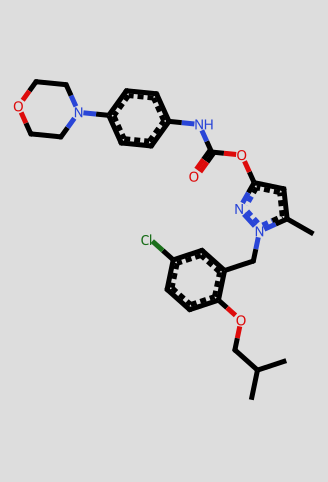 Cc1cc(OC(=O)Nc2ccc(N3CCOCC3)cc2)nn1Cc1cc(Cl)ccc1OCC(C)C